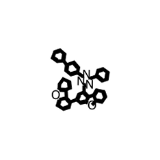 C1=Cc2c(oc3cccc(-c4cc(-c5nc(-c6ccccc6)nc(-c6ccc(-c7ccccc7)cc6)n5)c5c(c4)oc4ccccc45)c23)CC1